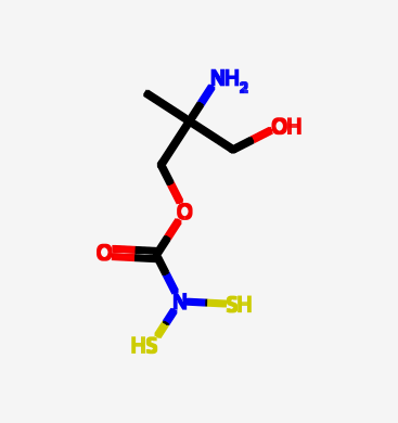 CC(N)(CO)COC(=O)N(S)S